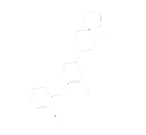 C[C@H]1CCC2(CCN(c3cnc(Sc4cccnc4C(F)(F)F)c(N)n3)CC2)[C@H]1N